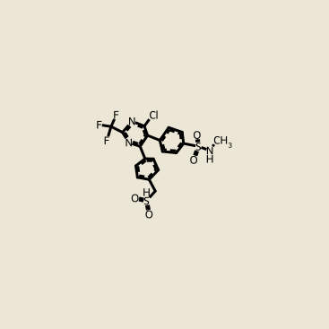 CNS(=O)(=O)c1ccc(-c2c(Cl)nc(C(F)(F)F)nc2-c2ccc(C[SH](=O)=O)cc2)cc1